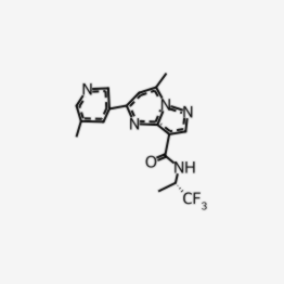 Cc1cncc(-c2cc(C)n3ncc(C(=O)N[C@@H](C)C(F)(F)F)c3n2)c1